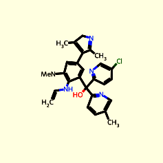 C=CNc1c(NC)cc(C2=C(C)CN=C2C)cc1C(O)(c1ccc(C)cn1)c1ccc(Cl)cn1